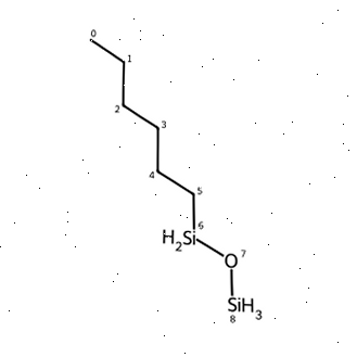 CCCCCC[SiH2]O[SiH3]